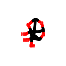 OC12CC3OC(CC(O3)C1(O)O)O2